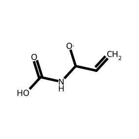 C=CC([O])NC(=O)O